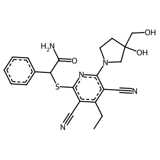 CCc1c(C#N)c(SC(C(N)=O)c2ccccc2)nc(N2CCC(O)(CO)C2)c1C#N